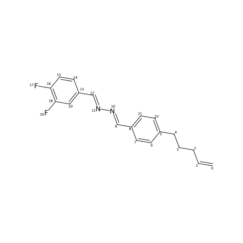 C=CCCCc1ccc(C=NN=Cc2ccc(F)c(F)c2)cc1